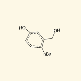 CCCCc1ccc(O)cc1CO